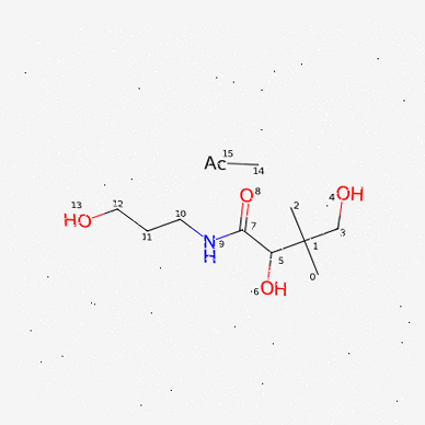 CC(C)(CO)C(O)C(=O)NCCCO.CC(C)=O